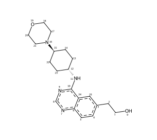 OCCc1ccc2ncnc(N[C@H]3CC[C@H](N4CCOCC4)CC3)c2c1